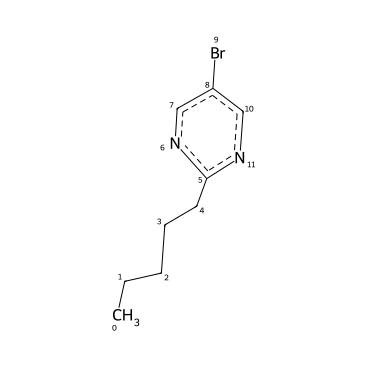 CCCCCc1ncc(Br)cn1